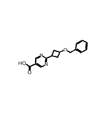 O=C(O)c1cnc(C2CC(OCc3ccccc3)C2)nc1